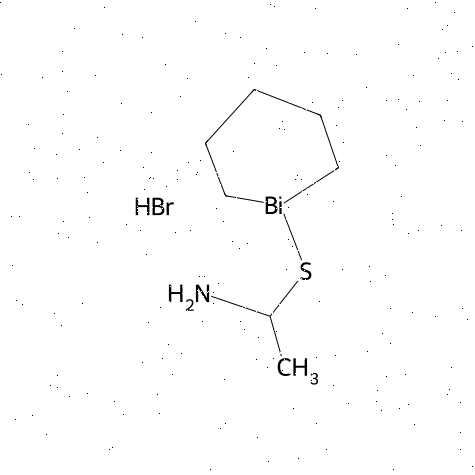 Br.CC(N)[S][Bi]1[CH2]CCC[CH2]1